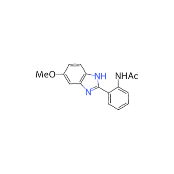 COc1ccc2[nH]c(-c3ccccc3NC(C)=O)nc2c1